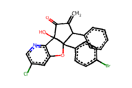 C=C1C(=O)C2(O)c3ncc(Cl)cc3OC2(c2ccc(Br)cc2)C1c1ccccc1